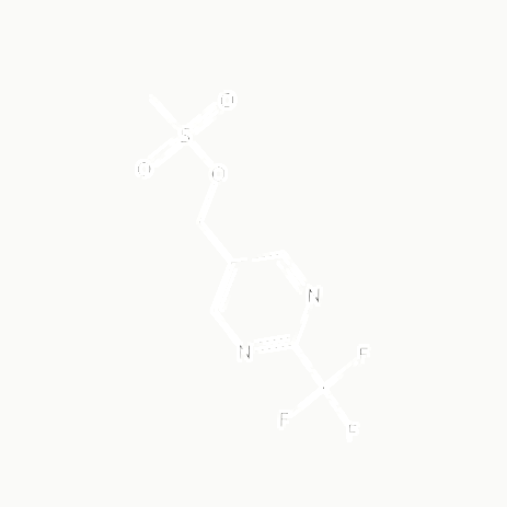 CS(=O)(=O)OCc1cnc(C(F)(F)F)nc1